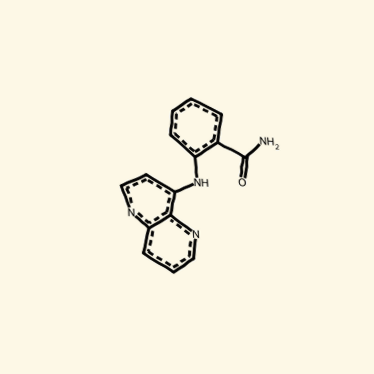 NC(=O)c1ccccc1Nc1ccnc2cccnc12